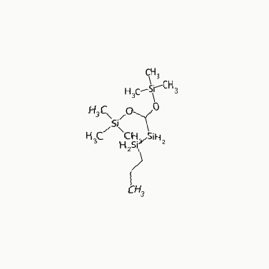 CCC[SiH2][SiH2]C(O[Si](C)(C)C)O[Si](C)(C)C